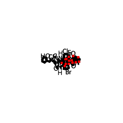 CN(Cc1ccccc1)C(COC(=O)Nc1nc2cc(C3(O)c4ccccc4C(=O)N3c3cccc(Cl)c3F)ccc2[nH]1)N(C(=O)O)c1nc2ccc(C3(O)c4c(F)ccc(F)c4C(=O)N3c3cccc(Br)c3)cc2[nH]1